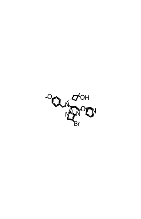 COc1ccc(CN(C[C@H]2C[C@@](C)(O)C2)c2cc(Oc3cccnc3)nc3c(Br)cnn23)cc1